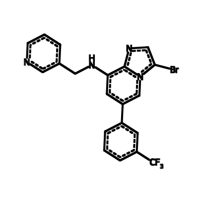 FC(F)(F)c1cccc(-c2cc(NCc3cccnc3)c3ncc(Br)n3c2)c1